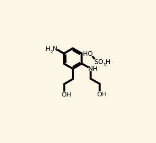 Nc1ccc(NCCO)c(CCO)c1.O=S(=O)(O)O